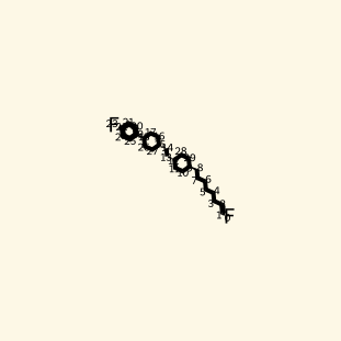 F/C=C/CCCCCC[C@H]1CC[C@H](CC[C@H]2CC[C@H](c3ccc(F)cc3)CC2)CC1